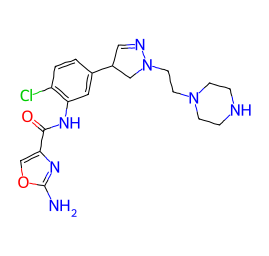 Nc1nc(C(=O)Nc2cc(C3C=NN(CCN4CCNCC4)C3)ccc2Cl)co1